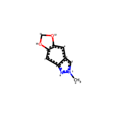 Cn1cc2cc3c(cc2n1)OCO3